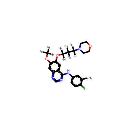 [2H]C([2H])([2H])Oc1cc2ncnc(Nc3ccc(F)c(C)c3)c2cc1OC([2H])([2H])C([2H])([2H])C([2H])([2H])N1CCOCC1